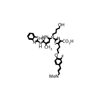 CNC/C=C/c1ccc(OCCCc2sc(N(CCCCO)C(=N)/C=C(/C)C(=N)Nc3nc4ccccc4s3)nc2C(=O)O)c(F)c1